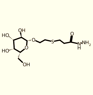 NNC(=O)CCSCCO[C@@H]1O[C@H](CO)[C@H](O)[C@H](O)[C@H]1O